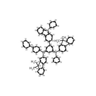 CC1(C)c2ccccc2-c2ccc(N(c3ccccc3)c3cc(-c4ccc5c(c4)c4ccccc4n5-c4ccccc4)cc(N(c4ccc(-c5ccccc5)cc4)c4ccc5c(c4)C(C)(C)c4ccccc4-5)c3)cc21